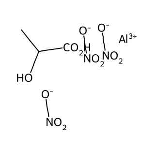 CC(O)C(=O)O.O=[N+]([O-])[O-].O=[N+]([O-])[O-].O=[N+]([O-])[O-].[Al+3]